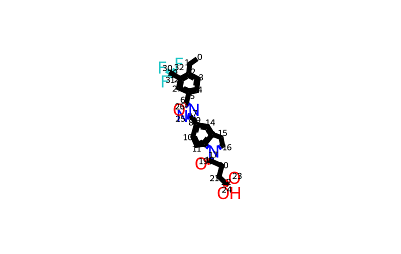 CCc1ccc(-c2nc(-c3ccc4c(c3)CCN4C(=O)CCC(=O)O)no2)cc1C(F)(F)F